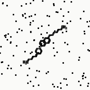 CCCCCCCc1ccc2cc([C@H]3CC[C@H](CCCCC)CC3)ccc2c1